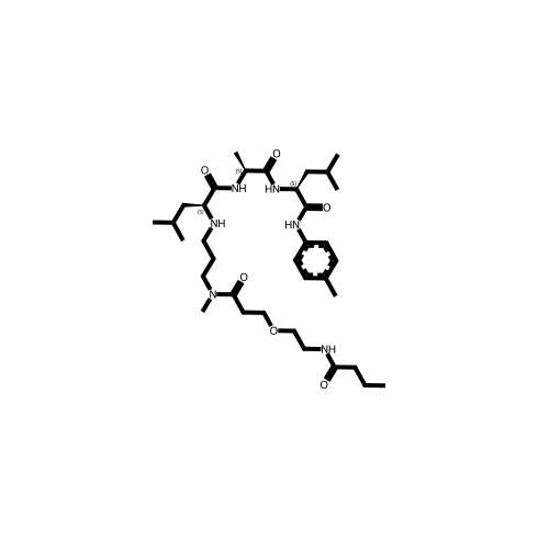 CCCC(=O)NCCOCCC(=O)N(C)CCCN[C@@H](CC(C)C)C(=O)N[C@@H](C)C(=O)N[C@@H](CC(C)C)C(=O)Nc1ccc(C)cc1